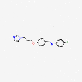 Fc1ccc([N]Cc2ccc(OCCCn3ccnc3)cc2)cc1